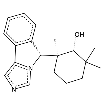 CC1(C)CCC[C@@](C)([C@H]2c3ccccc3-c3cncn32)[C@@H]1O